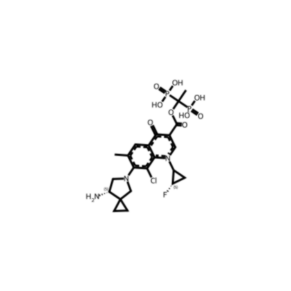 Cc1cc2c(=O)c(C(=O)OC(C)(P(=O)(O)O)P(=O)(O)O)cn(C3C[C@@H]3F)c2c(Cl)c1N1C[C@@H](N)C2(CC2)C1